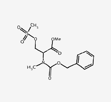 COC(=O)C(COS(C)(=O)=O)N(C)C(=O)OCc1ccccc1